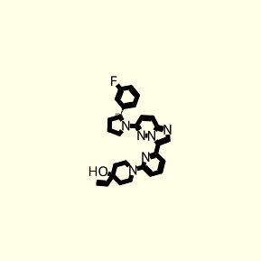 C=CC1(O)CCN(c2cccc(-c3cnc4ccc(N5CCC[C@@H]5c5cccc(F)c5)nn34)n2)CC1